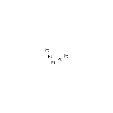 [Pt].[Pt].[Pt].[Pt].[Pt]